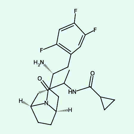 CC(NC(=O)C1CC1)C(=O)N1[C@@H]2CC[C@H]1C[C@H]([C@H](N)Cc1cc(F)c(F)cc1F)C2